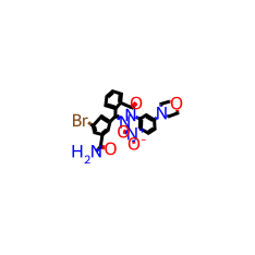 NC(=O)c1cc(Br)cc(-c2nn(-c3cc(N4CCOCC4)ccc3[N+](=O)[O-])c(=O)c3ccccc23)c1